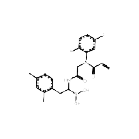 C=CC(=O)N(CC(=O)NC(Cc1ccc(C)cc1C)B(O)O)c1cc(F)ccc1F